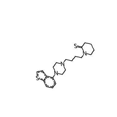 S=C1CCCCN1CCCCN1CCN(c2cccc3sccc23)CC1